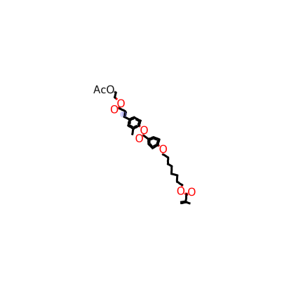 C=C(C)C(=O)OCCCCCCCCOc1ccc(C(=O)Oc2ccc(/C=C/C(=O)OCCOC(C)=O)cc2C)cc1